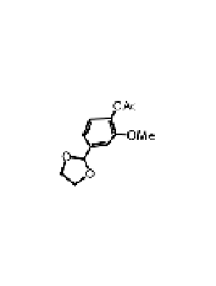 COc1cc(C2OCCO2)ccc1OC(C)=O